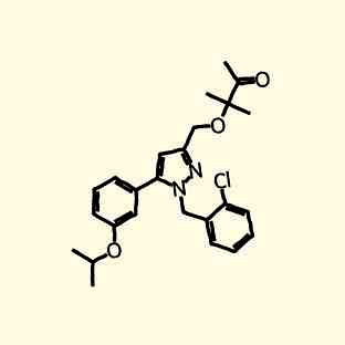 CC(=O)C(C)(C)OCc1cc(-c2cccc(OC(C)C)c2)n(Cc2ccccc2Cl)n1